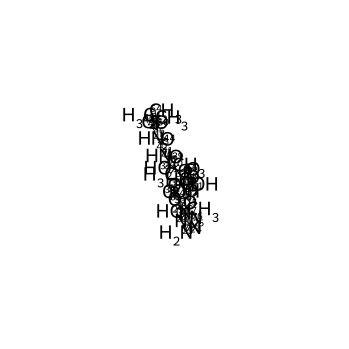 CC(C)(COP(=O)(O)OP(=O)(O)OCC1OC(C)(n2cnc3c(N)ncnc32)C(O)C1OP(=O)(O)O)C(O)C(=O)NCCC(=O)NCCS(=O)(=O)C(C)(C)C